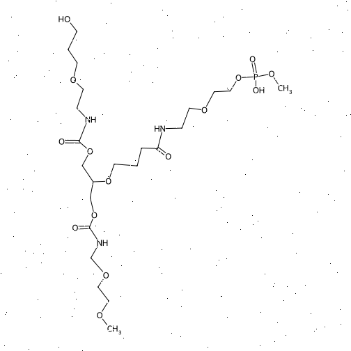 COCCOCNC(=O)OCC(COC(=O)NCCOCCCO)OCCCC(=O)NCCOCCOP(=O)(O)OC